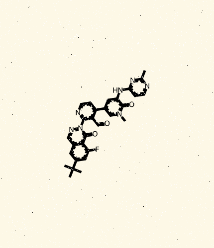 Cc1nccc(Nc2cc(-c3ccnc(-n4ncc5cc(C(C)(C)C)cc(F)c5c4=O)c3C=O)cn(C)c2=O)n1